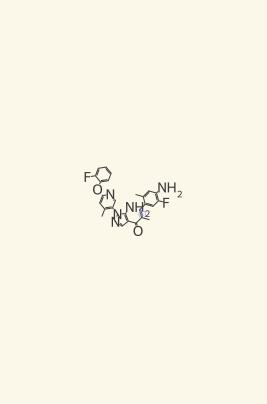 C/C(=C\c1cc(F)c(N)cc1C)C(=O)c1cnn(-c2cnc(Oc3ccccc3F)cc2C)c1N